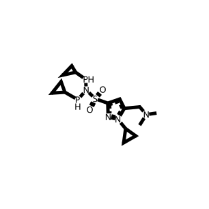 CN(C)Cc1cc(S(=O)(=O)N(PC2CC2)PC2CC2)nn1C1CC1